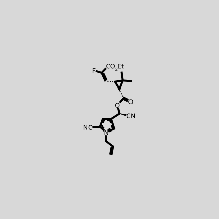 C=CCn1cc([C@H](C#N)OC(=O)[C@@H]2[C@H](/C=C(/F)C(=O)OCC)C2(C)C)cc1C#N